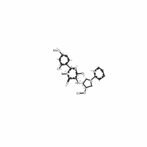 CCO[C@@H]1CN(c2ccccn2)C[C@H]1Nc1c(CC)nc(-c2ccc(OC)cc2Cl)n(C)c1=O